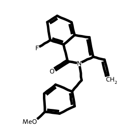 C=Cc1cc2cccc(F)c2c(=O)n1Cc1ccc(OC)cc1